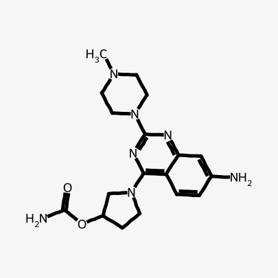 CN1CCN(c2nc(N3CCC(OC(N)=O)C3)c3ccc(N)cc3n2)CC1